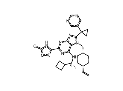 C=C[C@H]1CC[C@H](Cn2c(C3(c4cccnc4)CC3)nc3nc(-c4noc(=O)[nH]4)nc(N[C@H](C)C4CCC4)c32)CC1